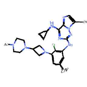 CC(=O)N1CCN(C2CN(c3cc(C#N)cc(Nc4nc(NC5CC5)c5ncc(C#N)n5n4)c3Cl)C2)CC1